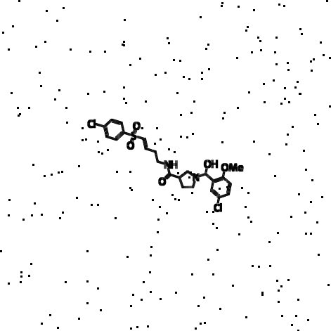 COc1ccc(Cl)cc1C(O)N1CCC(C(=O)NCC/C=C/S(=O)(=O)c2ccc(Cl)cc2)C1